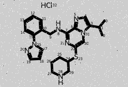 CC(C)c1cnc2c(NCc3ccccc3-n3cccn3)nc(SC3CCCNC3)cn12.Cl